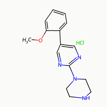 COc1ccccc1-c1cnc(N2CCNCC2)nc1.Cl